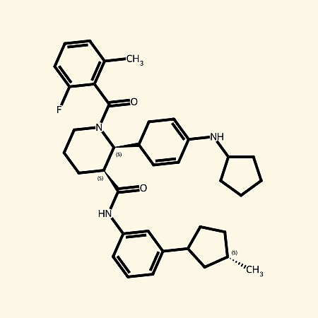 Cc1cccc(F)c1C(=O)N1CCC[C@H](C(=O)Nc2cccc(C3CC[C@H](C)C3)c2)[C@@H]1C1C=CC(NC2CCCC2)=CC1